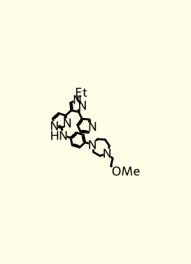 CCn1cc(-c2ccnc(Nc3ccc(N4CCCN(CCOC)CC4)cc3)n2)c(-c2cccnc2)n1